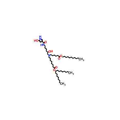 CCCCCCCCCCCOC(=O)CCCCCN(CCCCCCCC(=O)OC(CCCCCCCC)CCCCCCCC)CC(O)CCCCNC(=O)c1c[nH]c(O)c1